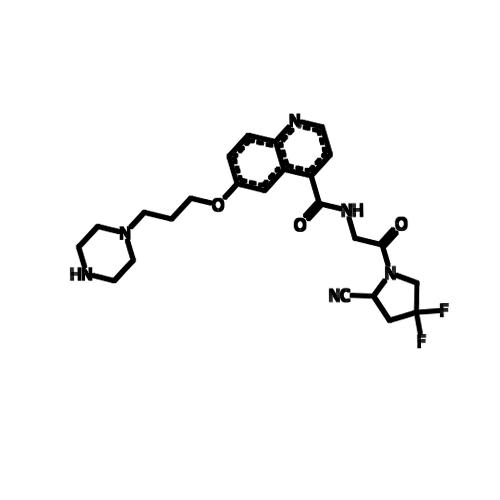 N#CC1CC(F)(F)CN1C(=O)CNC(=O)c1ccnc2ccc(OCCCN3CCNCC3)cc12